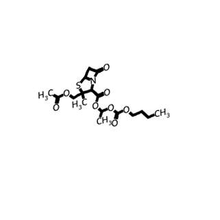 CCCCOC(=O)OC(C)OC(=O)C1N2C(=O)CC2SC1(C)COC(C)=O